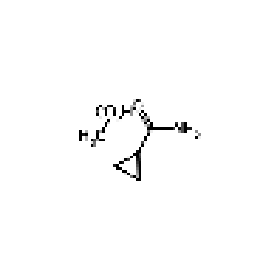 CC(=O)O.NC(=O)C1CC1